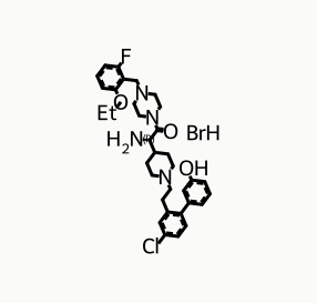 Br.CCOc1cccc(F)c1CN1CCN(C(=O)[C@H](N)C2CCN(CCc3cc(Cl)ccc3-c3cccc(O)c3)CC2)CC1